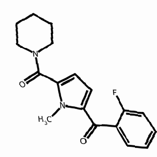 Cn1c(C(=O)c2ccccc2F)ccc1C(=O)N1CCCCC1